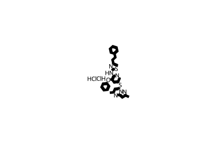 Cc1cc(Sc2cnc(Nc3nc(CCc4ccccc4)cs3)c(Oc3ccccc3)c2)n2nc(C)cc2n1.Cl.Cl